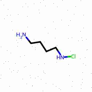 NCCCCNCl